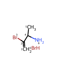 Br.C=C(Br)C(C)N